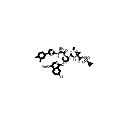 C=C[C@@H]1C[C@]1(NC(=O)[C@@H]1C[C@@H](Oc2ncc(OC)c3ccc(Cl)cc23)CN1C(=O)[C@@H](Nc1nc(-c2ccc(C)c(C)c2)cs1)C(C)(C)C)C(=O)NS(=O)(=O)C1CC1